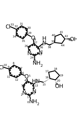 Nc1ncc(Oc2ccc(Cl)cc2)c(NC[C@@H]2CCC[C@@H]2O)n1.Nc1ncc(Oc2ccc(Cl)cc2)c(NC[C@H]2CC[C@@H](O)C2)n1